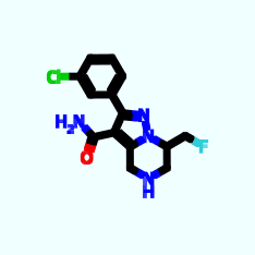 NC(=O)c1c(-c2cccc(Cl)c2)nn2c1CNCC2CF